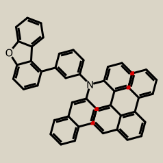 c1ccc(-c2cccc3cccc(-c4ccccc4N(c4cccc(-c5cccc6oc7ccccc7c56)c4)c4ccc5ccccc5c4)c23)cc1